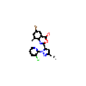 Cc1cc(Br)cc2c(=O)oc(-c3cc(C(F)(F)F)nn3-c3ncccc3Cl)nc12